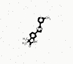 Cc1cc(-c2ncc(-c3ccc4c(c3)NC(=O)C4(C)C)o2)ccn1